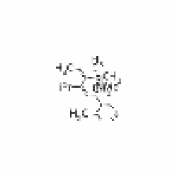 C/C=C(\C(=C/C(NC)c1ccccc1C)C(C)C)[Si](C)(C)C